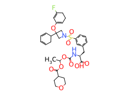 CC(OC(=O)N[C@@H](Cc1cccc(S(=O)(=O)N2CC(OC3=CCCC(F)=C3)(C3C=CC=CC3)C2)c1)C(=O)O)OC(=O)C1CCOCC1